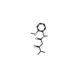 COc1ccccc1NC(=O)CC(=O)C(C)C